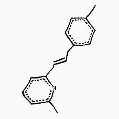 Cc1ccc(/C=C/c2cccc(C)n2)cc1